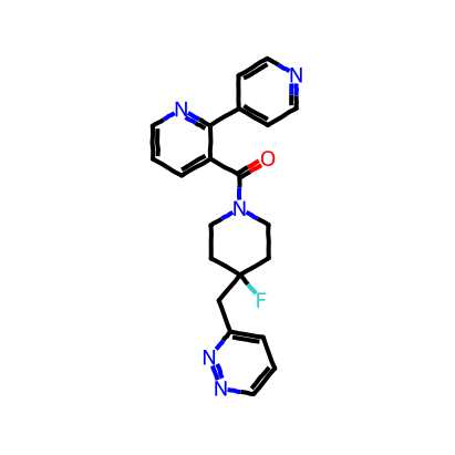 O=C(c1cccnc1-c1ccncc1)N1CCC(F)(Cc2cccnn2)CC1